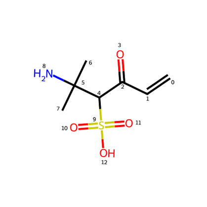 C=CC(=O)C(C(C)(C)N)S(=O)(=O)O